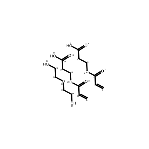 C=CC(=O)OCCC(=O)O.C=CC(=O)OCCC(=O)O.OCCOCCO